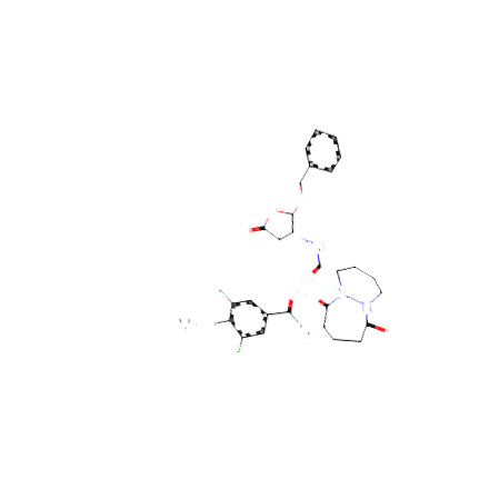 COc1c(Cl)cc(C(=O)N[C@H]2CCC(=O)N3CCC[C@@H](C(=O)N[C@H]4CC(=O)OC4OCc4ccccc4)N3C2=O)cc1Cl